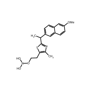 COc1ccc2cc(C(C)c3nc(C)c(CCON(O)O)s3)ccc2c1